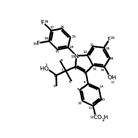 CC(O)C(C)(C)c1c(-c2ccc(C(=O)O)cc2)c2c(O)cc(F)cc2n1-c1ccc(F)c(F)c1